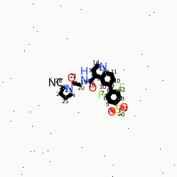 CS(=O)(=O)c1cc(F)c(-c2ccc3nccc(C(=O)NCC(=O)N4CCC[C@H]4C#N)c3c2)c(F)c1